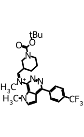 Cn1ccc2c(-c3ccc(C(F)(F)F)cc3)nnc(/[N+](C)=C\C3CCCN(C(=O)OC(C)(C)C)C3)c21